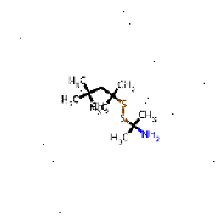 CC(C)(C)CC(C)(C)SSC(C)(C)N